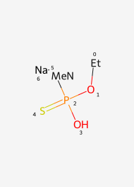 CCOP(O)(=S)NC.[Na]